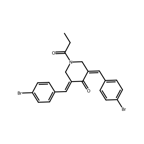 CCC(=O)N1C/C(=C/c2ccc(Br)cc2)C(=O)/C(=C/c2ccc(Br)cc2)C1